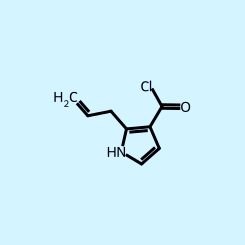 C=CCc1[nH]ccc1C(=O)Cl